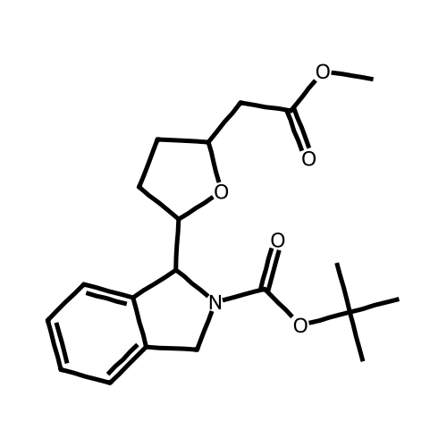 COC(=O)CC1CCC(C2c3ccccc3CN2C(=O)OC(C)(C)C)O1